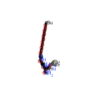 CC(C)NSC/C(CSC(C)(C)C)=N\OCC(=O)N[C@H](C(=O)N[C@@H](CCCNC(N)=O)C(=O)Nc1ccc(COC(=O)NCc2cn(CCOCCOCCOCCOCCOCCOCCOCCOCCOCCOCCOCCC(C)(C)C)nn2)cc1)C(C)C